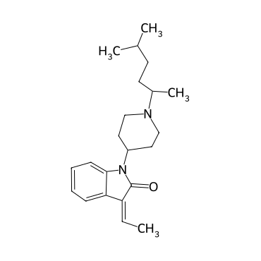 C/C=C1\C(=O)N(C2CCN(C(C)CCC(C)C)CC2)c2ccccc21